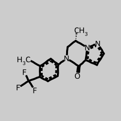 Cc1cc(N2C[C@H](C)n3nccc3C2=O)ccc1C(F)(F)F